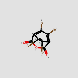 O=c1oc(=O)c2c(Br)c(Br)c1c(Br)c2Br